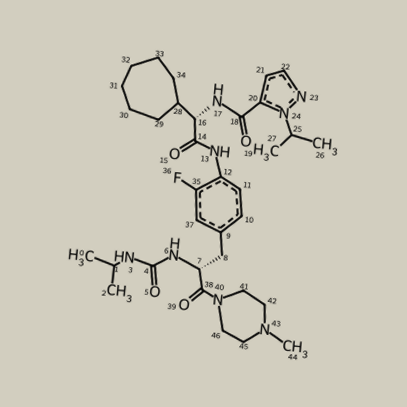 CC(C)NC(=O)N[C@H](Cc1ccc(NC(=O)[C@@H](NC(=O)c2ccnn2C(C)C)C2CCCCCC2)c(F)c1)C(=O)N1CCN(C)CC1